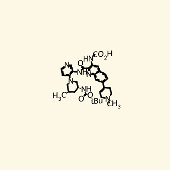 C[C@@H]1C[C@@H](NC(=O)OC(C)(C)C)CN(c2ccncc2NC(=O)c2nc3cc(C4=CCN(C)CC4)ccc3cc2NC(=O)O)C1